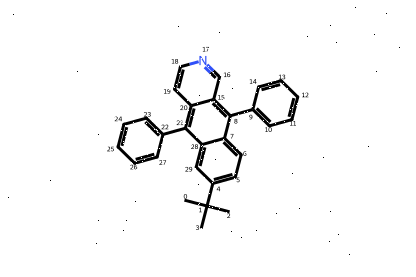 CC(C)(C)c1ccc2c(-c3ccccc3)c3cnccc3c(-c3ccccc3)c2c1